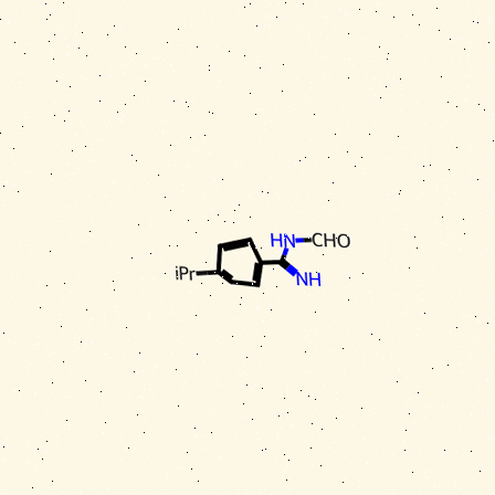 CC(C)c1ccc(C(=N)NC=O)cc1